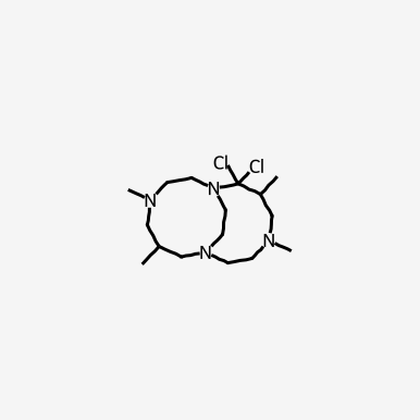 CC1CN(C)CCN2CCN(CCN(C)CC(C)C2(Cl)Cl)C1